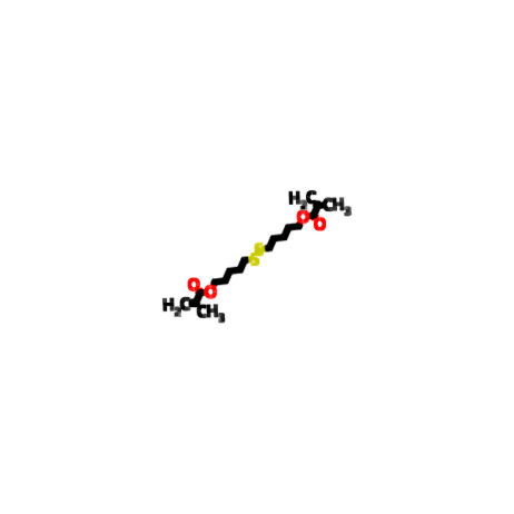 C=C(C)C(=O)OCCCCCSSCCCCCOC(=O)C(=C)C